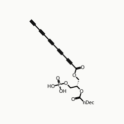 C#CC#CC#CC#CC#CC(=O)OC[C@@H](COP(=O)(O)O)OC(=O)CCCCCCCCCC